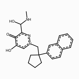 CNC(O)c1nn(CC2(c3ccc4ccccc4c3)CCCC2)cc(O)c1=O